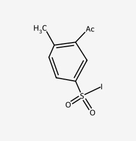 CC(=O)c1cc(S(=O)(=O)I)ccc1C